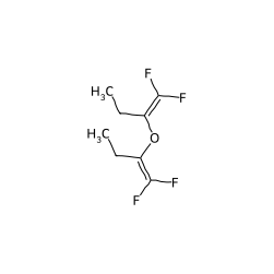 CCC(OC(CC)=C(F)F)=C(F)F